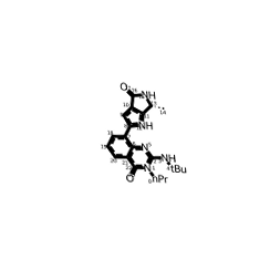 CCCn1c(NC(C)(C)C)nc2c(-c3cc4c([nH]3)[C@@H](C)NC4=O)cccc2c1=O